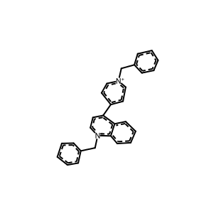 c1ccc(C[n+]2ccc(-c3cc[n+](Cc4ccccc4)c4ccccc34)cc2)cc1